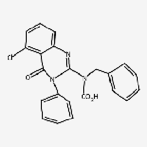 O=C(O)N(Cc1ccccc1)c1nc2cccc(Cl)c2c(=O)n1-c1ccccc1